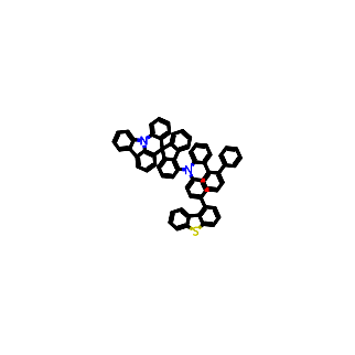 c1ccc(-c2ccccc2-c2ccccc2N(c2ccc(-c3cccc4sc5ccccc5c34)cc2)c2cccc3c2-c2ccccc2C32c3ccccc3-n3c4ccccc4c4cccc2c43)cc1